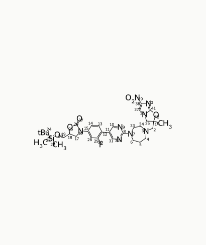 CC1(CN2CCCN(c3ncc(-c4ccc(N5CC(CO[Si](C)(C)C(C)(C)C)OC5=O)cc4F)cn3)CC2)Cn2cc([N+](=O)[O-])nc2O1